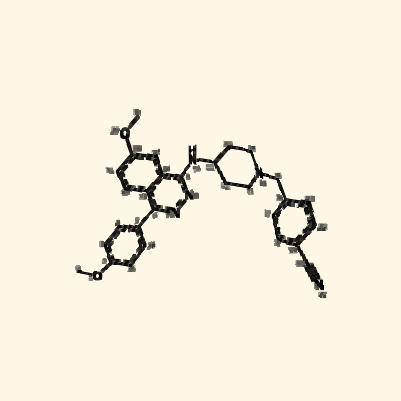 COc1ccc(-c2nnc(NC3CCN(Cc4ccc(C#N)cc4)CC3)c3cc(OC)ccc23)cc1